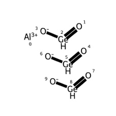 [Al+3].[O]=[GeH][O-].[O]=[GeH][O-].[O]=[GeH][O-]